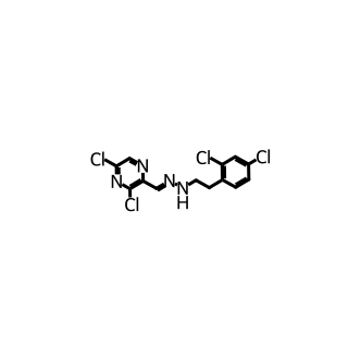 Clc1ccc(CCNN=Cc2ncc(Cl)nc2Cl)c(Cl)c1